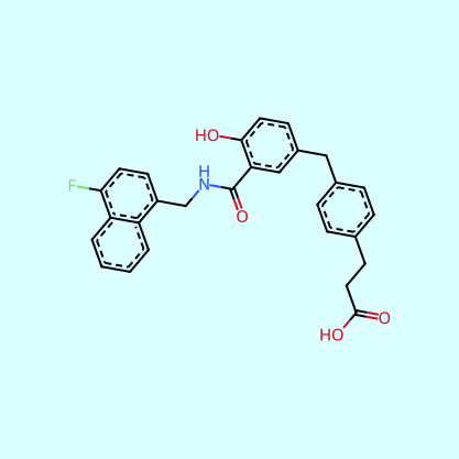 O=C(O)CCc1ccc(Cc2ccc(O)c(C(=O)NCc3ccc(F)c4ccccc34)c2)cc1